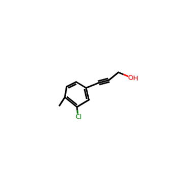 Cc1ccc(C#CCO)cc1Cl